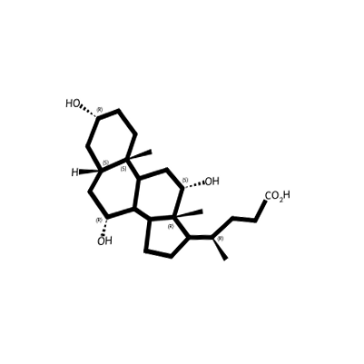 C[C@H](CCC(=O)O)C1CCC2C3C(C[C@H](O)[C@@]21C)[C@@]1(C)CC[C@@H](O)C[C@H]1C[C@H]3O